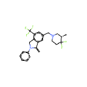 C=C1c2cc(CN3CCC(F)(F)[C@H](C)C3)cc(C(F)(F)F)c2CN1c1ccccc1